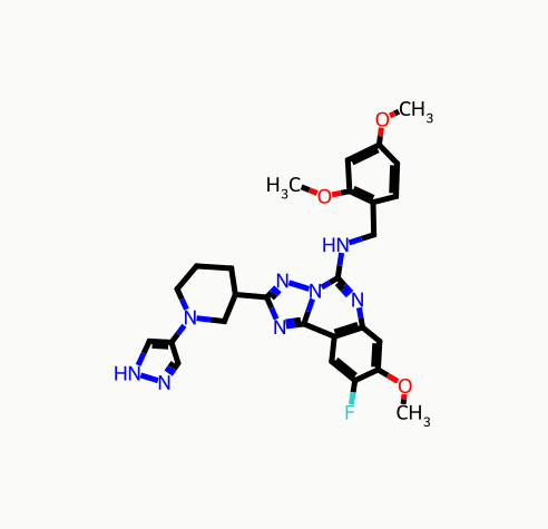 COc1ccc(CNc2nc3cc(OC)c(F)cc3c3nc(C4CCCN(c5cn[nH]c5)C4)nn23)c(OC)c1